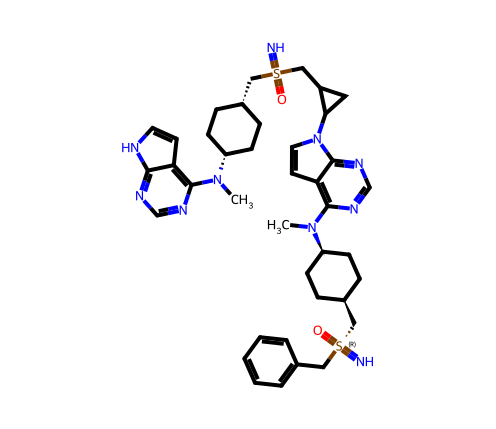 CN(c1ncnc2[nH]ccc12)[C@H]1CC[C@@H](CS(=N)(=O)CC2CC2n2ccc3c(N(C)[C@H]4CC[C@@H](C[S@@](=N)(=O)Cc5ccccc5)CC4)ncnc32)CC1